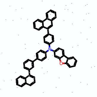 c1cc(-c2ccc(N(c3ccc(-c4cc5ccccc5c5ccccc45)cc3)c3ccc4c(c3)oc3ccccc34)cc2)cc(-c2cccc3ccccc23)c1